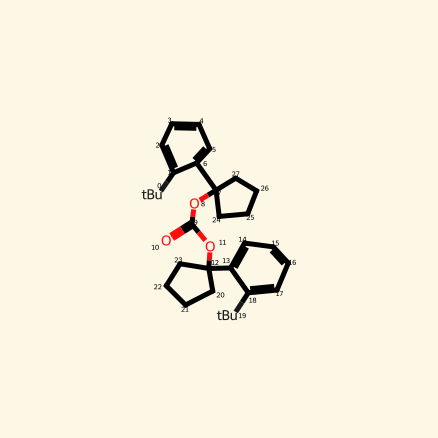 CC(C)(C)c1ccccc1C1(OC(=O)OC2(c3ccccc3C(C)(C)C)CCCC2)CCCC1